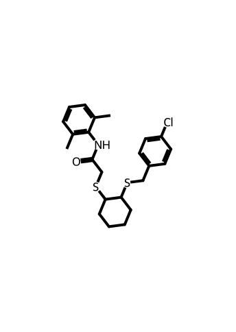 Cc1cccc(C)c1NC(=O)CSC1CCCCC1SCc1ccc(Cl)cc1